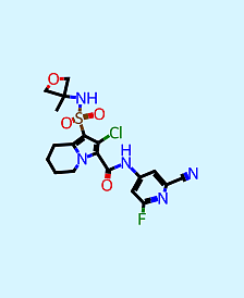 CC1(NS(=O)(=O)c2c(Cl)c(C(=O)Nc3cc(F)nc(C#N)c3)n3c2CCCC3)COC1